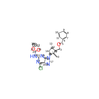 C=C1[C@H](COCc2ccccc2)[C@@H](C)C[C@@H]1n1cnc2c(Cl)nc(NC(=O)OC(C)(C)C)nc21